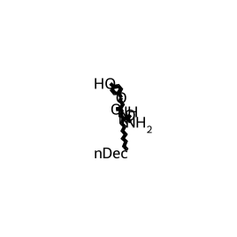 CCCCCCCCCCCCCCCCCCN(CNC(=O)CCOc1ccc(O)cc1)C(N)=O